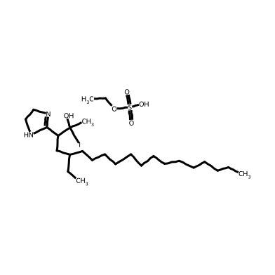 CCCCCCCCCCCCCCC(CC)CC(C1=NCCN1)C(C)(O)I.CCOS(=O)(=O)O